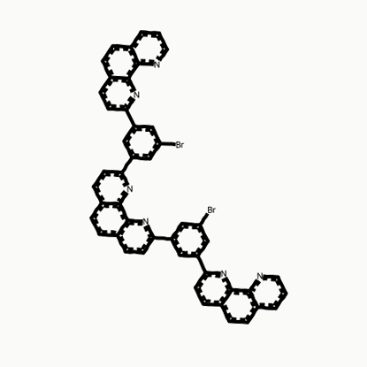 Brc1cc(-c2ccc3ccc4cccnc4c3n2)cc(-c2ccc3ccc4ccc(-c5cc(Br)cc(-c6ccc7ccc8cccnc8c7n6)c5)nc4c3n2)c1